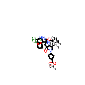 COC(=O)c1ccc(N2CC[C@H]3[C@@H](C2=O)[C@H](c2cccc(Cl)c2F)[C@]2(C(=O)Nc4cc(Cl)ccc42)N3CC(C)(C)C)cc1